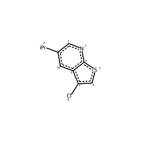 CC(C)c1cnc2scc(Cl)c2c1